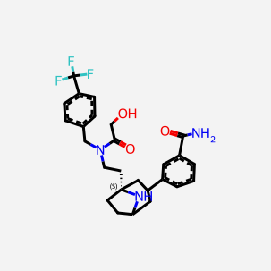 NC(=O)c1cccc(C2CC3CC[C@@](CCN(Cc4ccc(C(F)(F)F)cc4)C(=O)CO)(C2)N3)c1